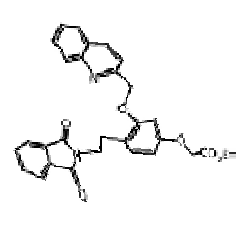 CCOC(=O)COc1ccc(CCN2C(=O)c3ccccc3C2=O)c(OCc2ccc3ccccc3n2)c1